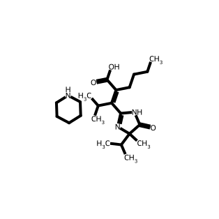 C1CCNCC1.CCCC/C(C(=O)O)=C(\C1=NC(C)(C(C)C)C(=O)N1)C(C)C